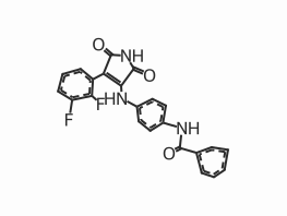 O=C1NC(=O)C(c2cccc(F)c2F)=C1Nc1ccc(NC(=O)c2ccccc2)cc1